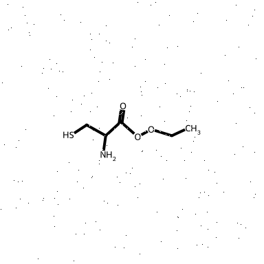 CCOOC(=O)C(N)CS